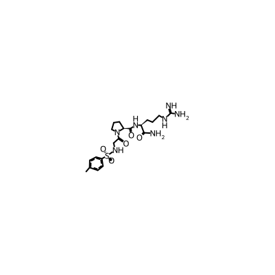 Cc1ccc(S(=O)(=O)NCC(=O)N2CCC[C@H]2C(=O)N[C@@H](CCCNC(=N)N)C(N)=O)cc1